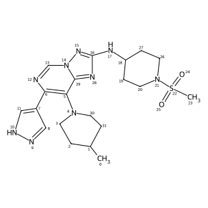 CC1CCN(c2c(-c3cn[nH]c3)ncn3nc(NC4CCN(S(C)(=O)=O)CC4)nc23)CC1